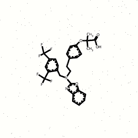 CC(C)(Oc1ccc(CCN(Cc2ccc(C(F)(F)F)cc2C(F)(F)F)c2nc3ccccc3o2)cc1)C(=O)O